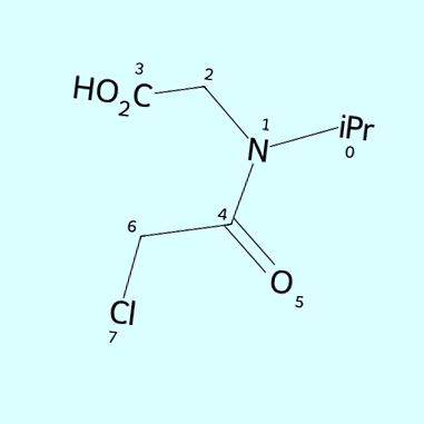 CC(C)N(CC(=O)O)C(=O)CCl